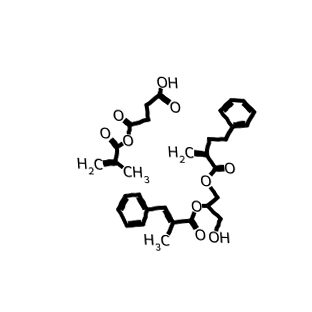 C=C(C)C(=O)OC(=O)CCC(=O)O.C=C(CCc1ccccc1)C(=O)OCC(CO)OC(=O)C(C)=Cc1ccccc1